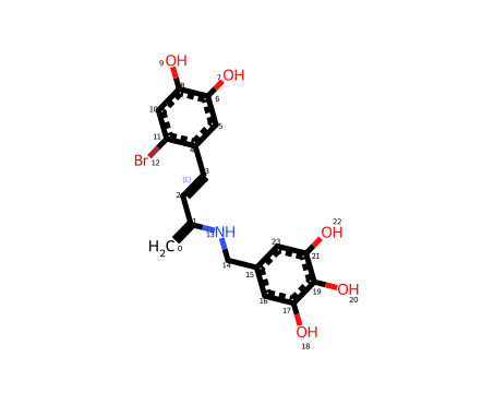 C=C(/C=C/c1cc(O)c(O)cc1Br)NCc1cc(O)c(O)c(O)c1